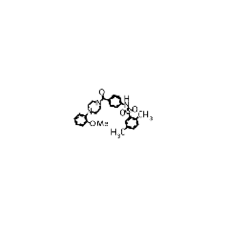 COc1ccccc1N1CCN(C(=O)c2ccc(NS(=O)(=O)c3cc(C)ccc3C)cc2)CC1